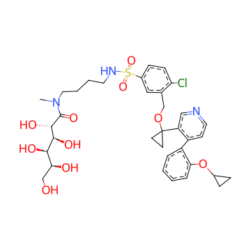 CN(CCCCNS(=O)(=O)c1ccc(Cl)c(COC2(c3cnccc3-c3ccccc3OC3CC3)CC2)c1)C(=O)[C@@H](O)[C@@H](O)[C@H](O)[C@@H](O)CO